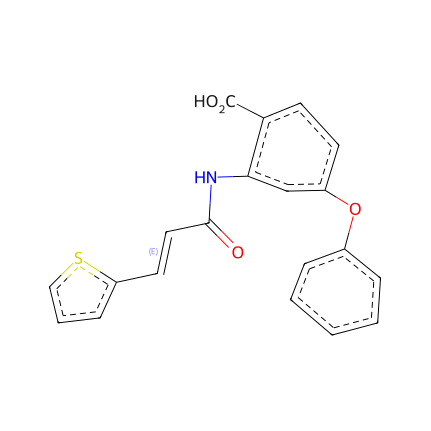 O=C(/C=C/c1cccs1)Nc1cc(Oc2ccccc2)ccc1C(=O)O